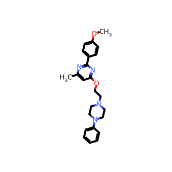 COc1ccc(-c2nc(C)cc(OCCN3CCN(c4ccccc4)CC3)n2)cc1